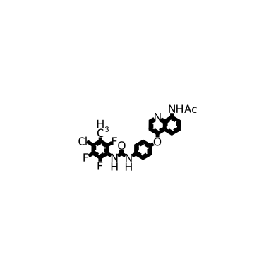 CC(=O)Nc1cccc2c(Oc3ccc(NC(=O)Nc4c(F)c(C)c(Cl)c(F)c4F)cc3)ccnc12